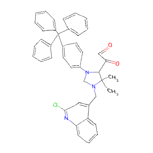 CC1(C)C(C(=O)C=O)N(c2ccc(C(c3ccccc3)(c3ccccc3)c3ccccc3)cc2)CN1Cc1cc(Cl)nc2ccccc12